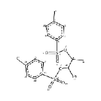 Cc1ccc(S(=O)(=O)OC(C)C(OS(=O)(=O)c2ccc(C)cc2)C(C)C)cc1